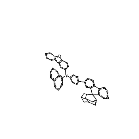 c1ccc2c(c1)-c1ccc(-c3ccc(N(c4ccc5oc6ccccc6c5c4)c4cccc5ccccc45)cc3)cc1C21C2CC3CC(C2)CC1C3